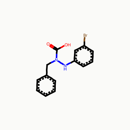 O=C(O)N(Cc1ccccc1)Nc1cccc(Br)c1